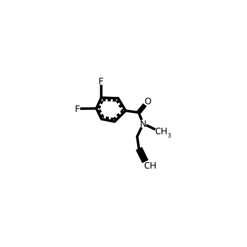 C#CCN(C)C(=O)c1ccc(F)c(F)c1